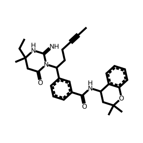 CC#CCCC(c1cccc(C(=O)NC2CC(C)(C)Oc3ccccc32)c1)N1C(=N)NC(C)(CC)CC1=O